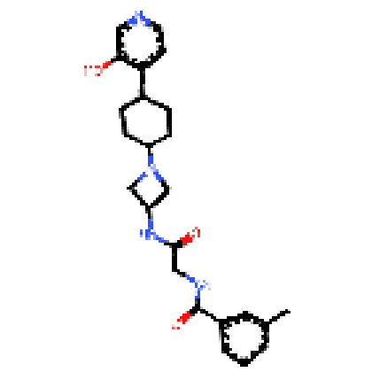 Cc1cccc(C(=O)NCC(=O)NC2CN(C3CCC(c4ccncc4O)CC3)C2)c1